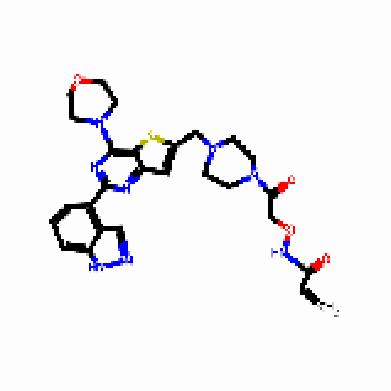 C=CC(=O)NOCC(=O)N1CCN(Cc2cc3nc(-c4cccc5[nH]ncc45)nc(N4CCOCC4)c3s2)CC1